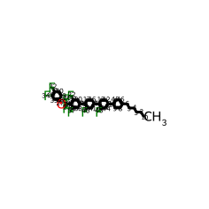 CCCCCCCc1ccc(-c2ccc(-c3ccc(-c4cc(F)c(C(F)(F)Oc5ccc(F)c(F)c5)c(F)c4)c(F)c3)c(F)c2)cc1